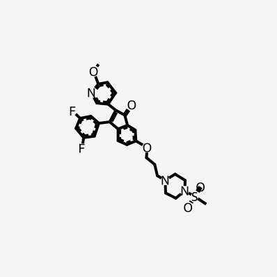 COc1ccc(C2=C(c3cc(F)cc(F)c3)c3ccc(OCCCN4CCN(S(C)(=O)=O)CC4)cc3C2=O)cn1